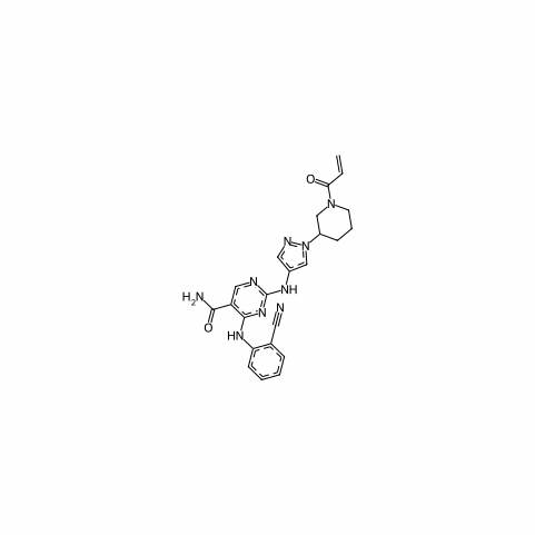 C=CC(=O)N1CCCC(n2cc(Nc3ncc(C(N)=O)c(Nc4ccccc4C#N)n3)cn2)C1